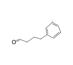 O=CCCCc1c[c]ccc1